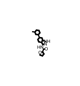 Cc1cccc(-c2ccc3c(NC(=O)c4ccco4)n[nH]c3c2)c1